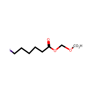 O=C(O)OCOC(=O)CCCCCI